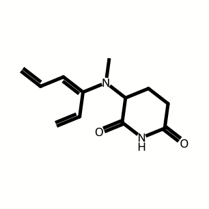 C=C/C=C(\C=C)N(C)C1CCC(=O)NC1=O